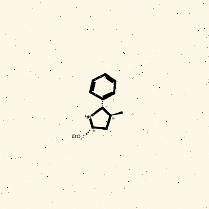 CCOC(=O)[C@H]1C[C@H](C)[C@@H](c2ccccc2)N1